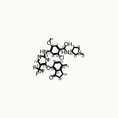 COc1cc(C(O)N[C@@H]2CCN(C)C2)c(Cl)cc1Nc1ncc(C(F)(F)F)c(Oc2ccc(C)c3c2C(=O)CC3)n1